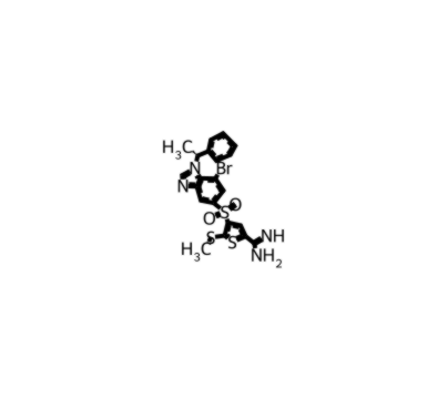 CSc1sc(C(=N)N)cc1S(=O)(=O)c1cc(Br)c2c(c1)ncn2[C@H](C)c1ccccc1